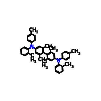 Cc1ccc(N(c2cc(C)c(-c3c(C)cc(N(c4ccc(C)cc4)c4ccccc4C)cc3C)c(C)c2)c2ccccc2C)cc1